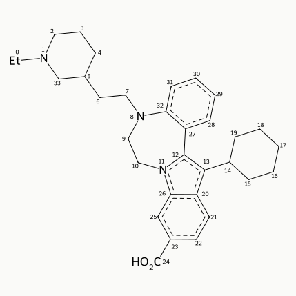 CCN1CCCC(CCN2CCn3c(c(C4CCCCC4)c4ccc(C(=O)O)cc43)-c3ccccc32)C1